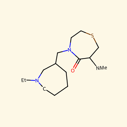 CCN1CCCCC(CN2CCSCC(NC)C2=O)C1